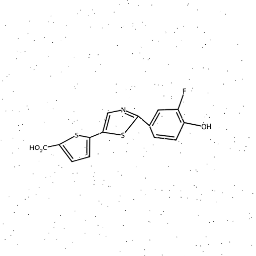 O=C(O)c1ccc(-c2cnc(-c3ccc(O)c(F)c3)s2)s1